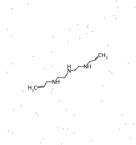 C=CCNCCNCCNCC=C